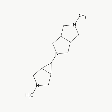 CN1CC2CN(C3C4CN(C)CC43)CC2C1